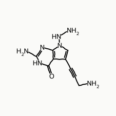 NCC#Cc1cn(NN)c2nc(N)[nH]c(=O)c12